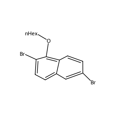 CCCCCCOc1c(Br)ccc2cc(Br)ccc12